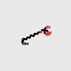 CCCCCCCC/C=C\CCCCCCCCOCC(CO)(CO)CO